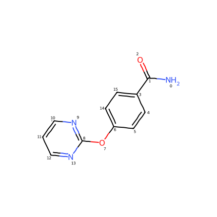 NC(=O)c1ccc(Oc2n[c]ccn2)cc1